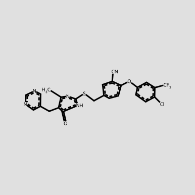 Cc1nc(SCc2ccc(Oc3ccc(Cl)c(C(F)(F)F)c3)c(C#N)c2)[nH]c(=O)c1Cc1cncnc1